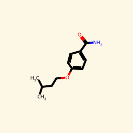 CC(C)CCOc1ccc(C(N)=O)cc1